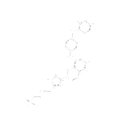 CS(=O)(=O)CCNCc1nc(N2C=Cc3cncc(Nc4ccc(Oc5ccccc5)cc4)c3C2)cs1